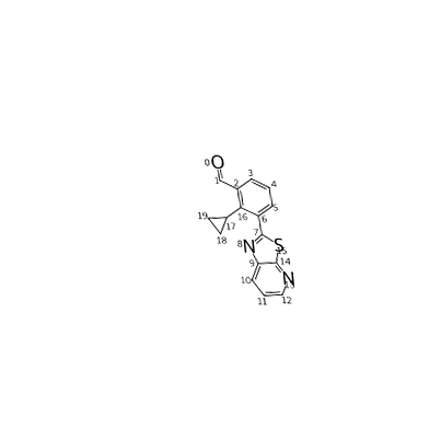 O=Cc1cccc(-c2nc3cccnc3s2)c1C1CC1